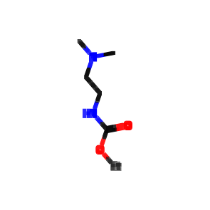 CCOC(=O)NCCN(C)C